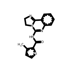 Cc1ccsc1C(=O)NC1=Nc2ccccc2C2=NCCN12